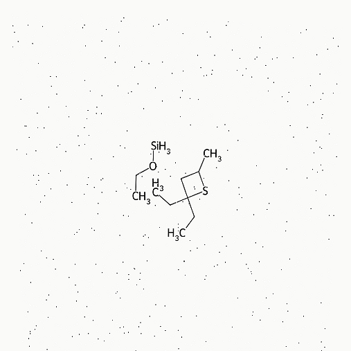 CCC1(CC)CC(C)S1.CCO[SiH3]